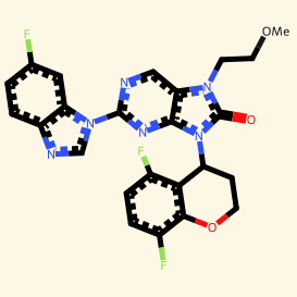 COCCn1c(=O)n(C2CCOc3c(F)ccc(F)c32)c2nc(-n3cnc4ccc(F)cc43)ncc21